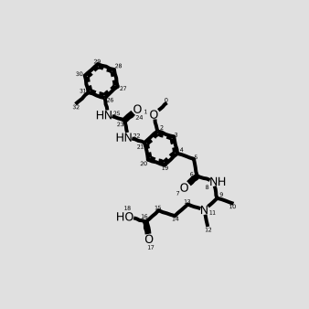 COc1cc(CC(=O)NC(C)N(C)CCCC(=O)O)ccc1NC(=O)Nc1ccccc1C